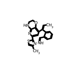 C/C=C(\c1ccccc1C=N)c1cc(-c2nc(C)cs2)nc2c1OCCN2